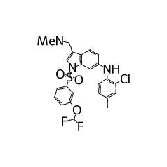 CNCc1cn(S(=O)(=O)c2cccc(OC(F)F)c2)c2cc(Nc3ccc(C)cc3Cl)ccc12